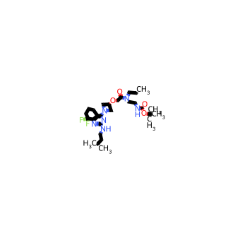 CCCN(CCNC(=O)OC(C)(C)C)C(=O)COC1CN(c2nc(NCCC(C)C)nc3c2CCCC3(F)F)C1